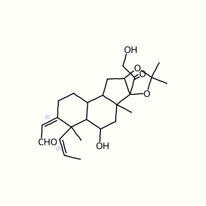 C/C=C\C1(C)/C(=C\C=O)CCC2C1C(O)CC1(C)C2CC2OC(C)(C)OC21C(=O)CO